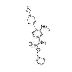 Nc1cc(NC(=O)OCc2ccccc2)ccc1C1=CCN(C2COC2)CC1